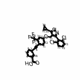 O=C(O)c1cccc(C#Cc2ccc(OCc3c(-c4c(Cl)cccc4Cl)noc3C3CC3)cc2C(F)(F)F)c1